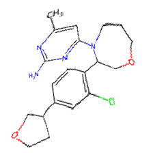 Cc1cc(N2CCCOCC2c2ccc(C3CCOC3)cc2Cl)nc(N)n1